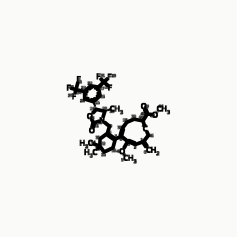 C=C1/C=C(OC)\C(C2=C(CN3C(=O)O[C@H](c4cc(C(F)(F)F)cc(C(F)(F)F)c4)[C@@H]3C)CC(C)(C)CC2)=C/CCC(C(=O)OC)CC1